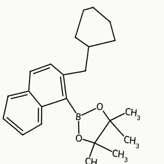 CC1(C)OB(c2c(CC3CCCCC3)ccc3ccccc23)OC1(C)C